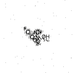 C=CCC(O)CCN(Cc1cccc(-c2ccc(F)cc2)c1CN1CCN(C)CC1)C(=O)OC(C)(C)C